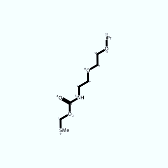 CSCOC(=O)NCCOCCOC(C)C